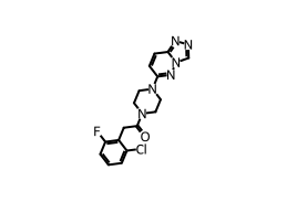 O=C(Cc1c(F)cccc1Cl)N1CCN(c2ccc3nncn3n2)CC1